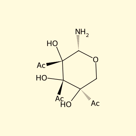 CC(=O)[C@@]1(O)[C@@](O)(C(C)=O)[C@H](N)OC[C@]1(O)C(C)=O